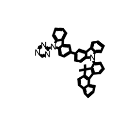 CC1(C)c2ccc3ccccc3c2-c2cccc(-n3c4ccccc4c4cc(-c5ccc6c(c5)c5ccccc5n6-c5ncncn5)ccc43)c21